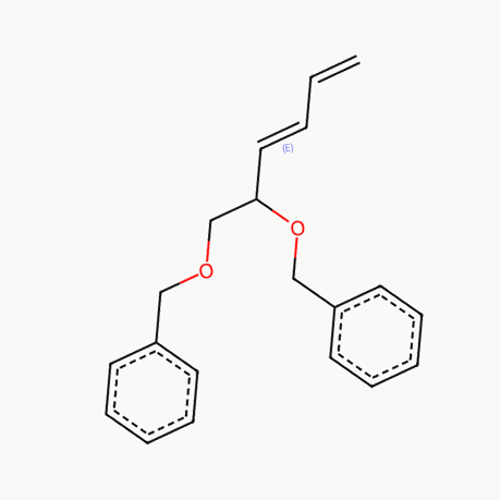 C=C/C=C/C(COCc1ccccc1)OCc1ccccc1